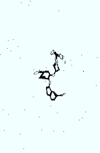 O=C(N1CC(Oc2cc(Cl)ccc2OC2CCc3ccc(F)cc32)C1)C(F)(F)F